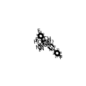 C[C@H]([C@](O)(Cn1cncn1)c1ccc(F)cc1F)S(=O)(=O)N1CCN(c2ccc(F)cc2)CC1